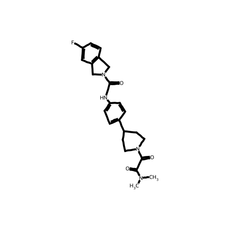 CN(C)C(=O)C(=O)N1CCC(c2ccc(NC(=O)N3Cc4ccc(F)cc4C3)cc2)CC1